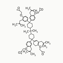 C=C(C)CC1=C(OCC2CO2)CCC(C2(c3ccc(OCC4CO4)c(CC(=C)C)c3)CCC(C(C)(C)C3CCC(c4ccc(OCC5CO5)c(CC(=C)C)c4)(c4ccc(OCC5CO5)c(CC(=C)C)c4)CC3)CC2)=C1